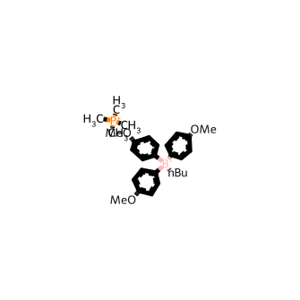 CCCC[B-](c1ccc(OC)cc1)(c1ccc(OC)cc1)c1ccc(OC)cc1.C[P+](C)(C)C